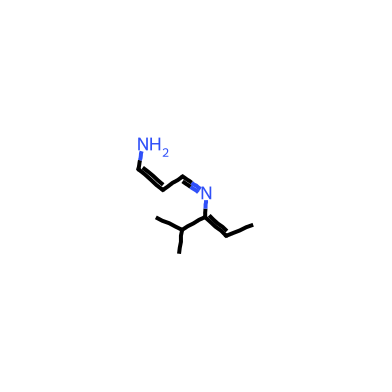 C\C=C(/N=C\C=C/N)C(C)C